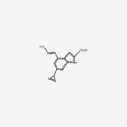 CCOC(=O)c1cc2c(/C=N/C)cc(C3C=N3)cc2[nH]1